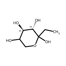 CCC1(O)OCC(O)[C@@H](O)[C@@H]1O